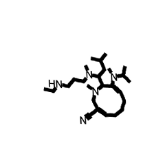 CCNCCCN(C)C(CC(C)C)C1C(N(C)C(C)C)=CCCC/C=C(/C#N)CN1C